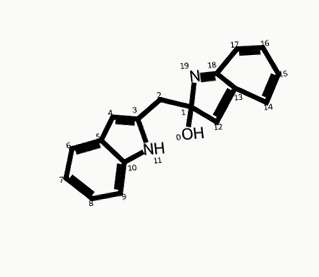 OC1(Cc2cc3ccccc3[nH]2)C=c2ccccc2=N1